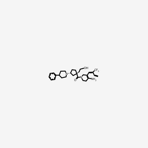 C=C/C(=C\C1=C(N)CCN(C(=O)[C@@]2(CCO)CC[C@@H](N3CCC(c4ccccc4)CC3)C2)C1)C(F)(F)F